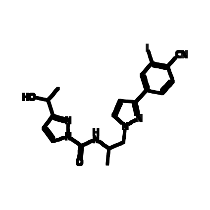 CC(Cn1ccc(-c2ccc(C#N)c(I)c2)n1)NC(=O)n1ccc(C(C)O)n1